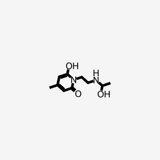 Cc1cc(O)n(CCNC(C)O)c(=O)c1